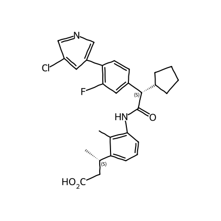 Cc1c(NC(=O)[C@H](c2ccc(-c3cncc(Cl)c3)c(F)c2)C2CCCC2)cccc1[C@@H](C)CC(=O)O